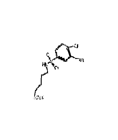 CCCCCCCCCCCCCCNS(=O)(=O)c1ccc(Cl)c([NH])c1